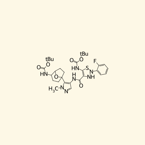 Cn1ncc(NC(=O)C2=C(NC(=O)OC(C)(C)C)SN(c3ccccc3F)N2)c1C12CCC(NC(=O)OC(C)(C)C)C(CC1)O2